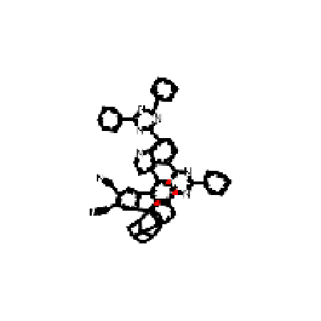 N#Cc1cc2c(cc1C#N)C1(c3cccc(-c4ccnc5c(-c6nc(-c7ccccc7)nc(-c7ccccc7)n6)ccc(-c6nc(-c7ccccc7)nc(-c7ccccc7)n6)c45)c3-2)C2CC3CC(C2)CC1C3